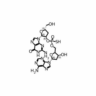 Nc1nc2c(ncn2[C@@H]2O[C@H](CO)C[C@H]2OP(=O)(S)OCC2O[C@@H](n3cnc4c(N)ncnc43)C[C@@H]2O)c(=O)[nH]1